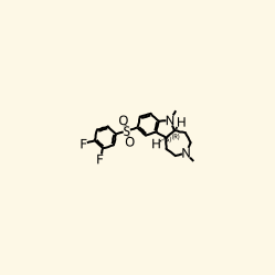 CN1CC[C@@H]2[C@@H](CC1)c1cc(S(=O)(=O)c3ccc(F)c(F)c3)ccc1N2C